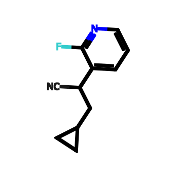 N#CC(CC1CC1)c1cccnc1F